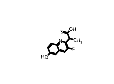 CC(C(O)=S)c1nc2ccc(O)cc2cc1F